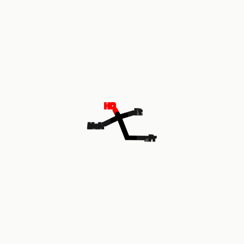 CCCCC(O)(CC)NC